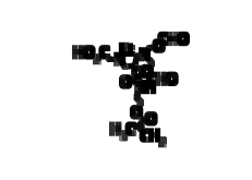 C=C(C)C(=O)OCCNC(=O)OC(CN(COC=O)COC=O)CN(CC)CC(=O)O